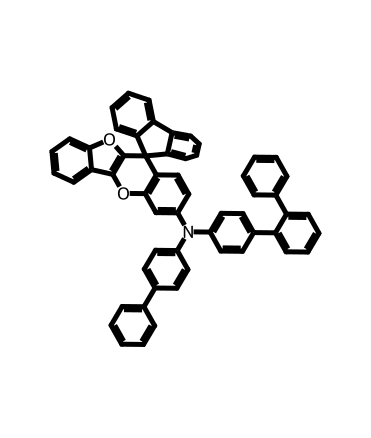 c1ccc(-c2ccc(N(c3ccc(-c4ccccc4-c4ccccc4)cc3)c3ccc4c(c3)Oc3c(oc5ccccc35)C43c4ccccc4-c4ccccc43)cc2)cc1